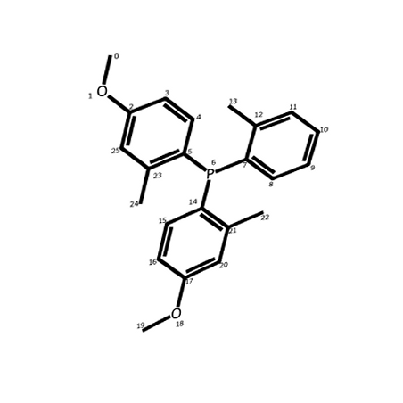 COc1ccc(P(c2ccccc2C)c2ccc(OC)cc2C)c(C)c1